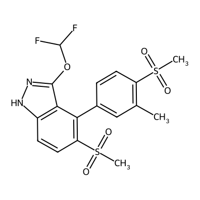 Cc1cc(-c2c(S(C)(=O)=O)ccc3[nH]nc(OC(F)F)c23)ccc1S(C)(=O)=O